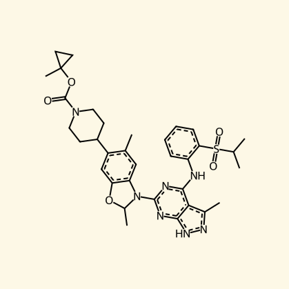 Cc1cc2c(cc1C1CCN(C(=O)OC3(C)CC3)CC1)OC(C)N2c1nc(Nc2ccccc2S(=O)(=O)C(C)C)c2c(C)n[nH]c2n1